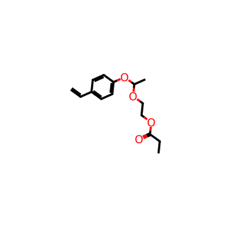 C=Cc1ccc(OC(C)OCCOC(=O)CC)cc1